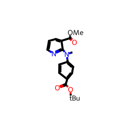 COC(=O)c1cccnc1N(C)c1ccc(C(=O)OC(C)(C)C)cc1